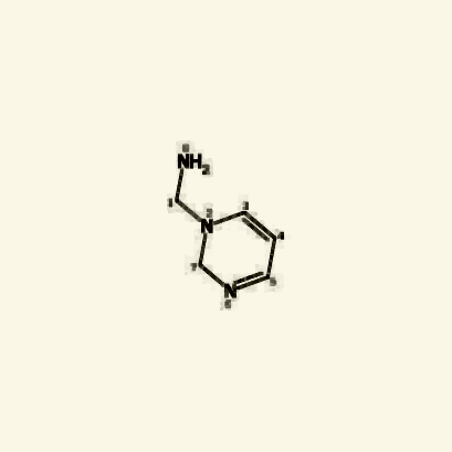 NCN1C=CC=NC1